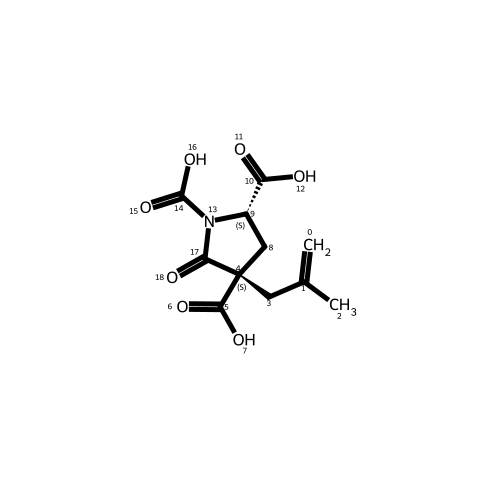 C=C(C)C[C@]1(C(=O)O)C[C@@H](C(=O)O)N(C(=O)O)C1=O